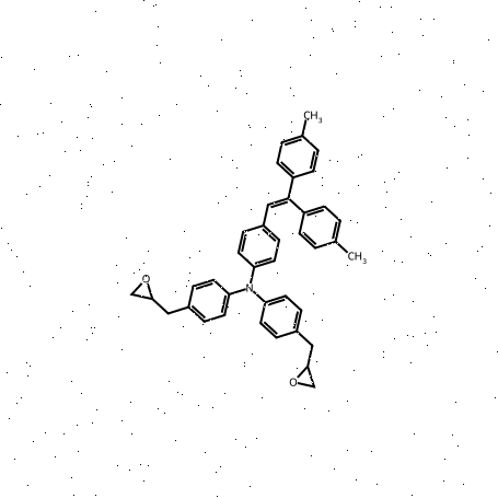 Cc1ccc(C(=Cc2ccc(N(c3ccc(CC4CO4)cc3)c3ccc(CC4CO4)cc3)cc2)c2ccc(C)cc2)cc1